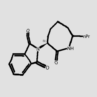 CCCC1CCC[C@H](N2C(=O)c3ccccc3C2=O)C(=O)N1